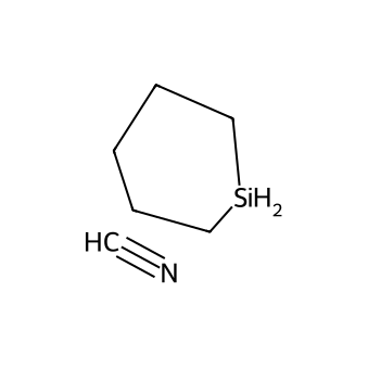 C#N.C1CC[SiH2]CC1